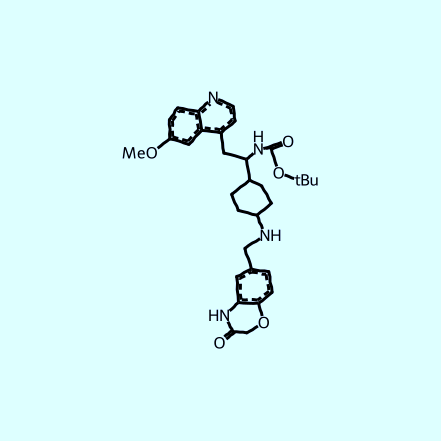 COc1ccc2nccc(CC(NC(=O)OC(C)(C)C)C3CCC(NCc4ccc5c(c4)NC(=O)CO5)CC3)c2c1